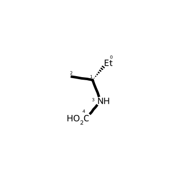 CC[C@@H](C)NC(=O)O